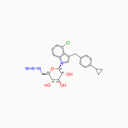 [N-]=[N+]=NC[C@H]1O[C@@H](n2cc(Cc3ccc(C4CC4)cc3)c3c(Cl)cccc32)[C@H](O)[C@@H](O)[C@@H]1O